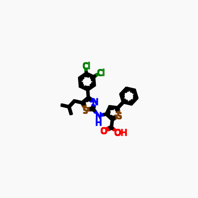 CC(C)Cc1sc(Nc2cc(-c3ccccc3)sc2C(=O)O)nc1-c1ccc(Cl)c(Cl)c1